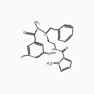 COc1cc(F)cc(C(=O)N(C)[C@H](CCNC(=O)c2cccn2C)Cc2ccccc2)c1